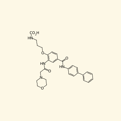 O=C(O)NCCCOc1ccc(C(=O)Nc2ccc(-c3ccccc3)cc2)cc1NC(=O)CN1CCOCC1